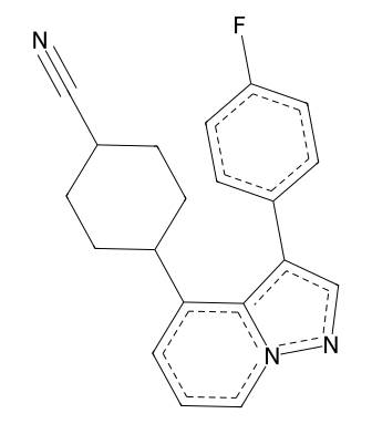 N#CC1CCC(c2cccn3ncc(-c4ccc(F)cc4)c23)CC1